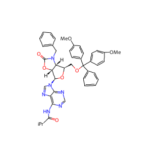 COc1ccc(C(OC[C@H]2O[C@@H](n3cnc4c(NC(=O)C(C)C)ncnc43)[C@@H]3OC(=O)N(Cc4ccccc4)[C@@H]32)(c2ccccc2)c2ccc(OC)cc2)cc1